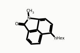 CCCCCCc1ccc2c3c(cccc13)C(=O)N2C